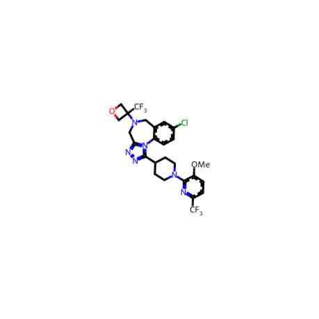 COc1ccc(C(F)(F)F)nc1N1CCC(c2nnc3n2-c2ccc(Cl)cc2CN(C2(C(F)(F)F)COC2)C3)CC1